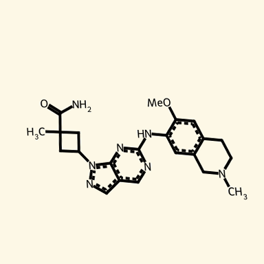 COc1cc2c(cc1Nc1ncc3cnn(C4CC(C)(C(N)=O)C4)c3n1)CN(C)CC2